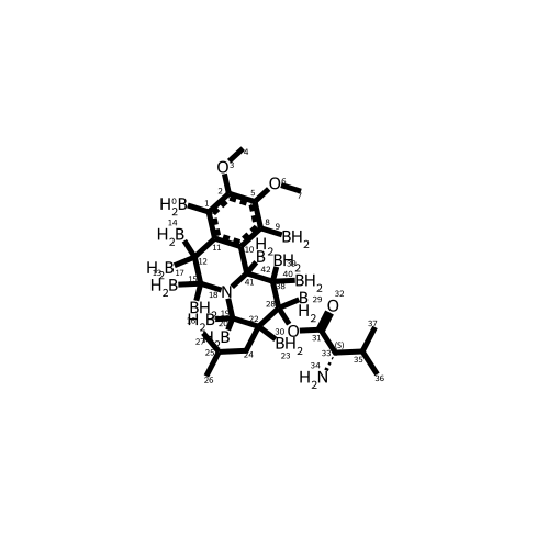 Bc1c(OC)c(OC)c(B)c2c1C(B)(B)C(B)(B)N1C(B)(B)C(B)(CC(C)C)C(B)(OC(=O)[C@@H](N)C(C)C)C(B)(B)C21B